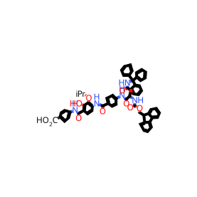 CC(C)Oc1c(NC(=O)c2ccc(NC(=O)C(CC(=O)NC(c3ccccc3)(c3ccccc3)c3ccccc3)NC(=O)OCC3c4ccccc4-c4ccccc43)cc2)ccc(C(=O)Nc2ccc(C(=O)O)cc2)c1O